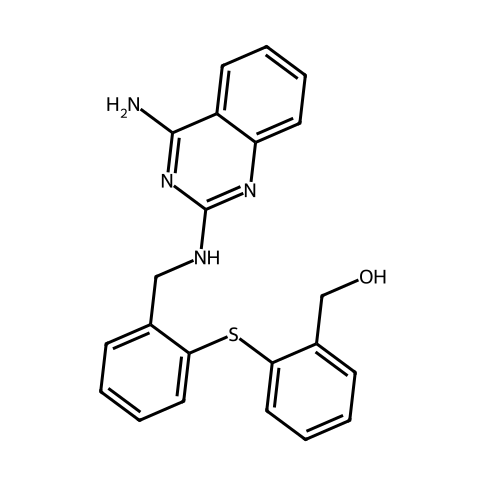 Nc1nc(NCc2ccccc2Sc2ccccc2CO)nc2ccccc12